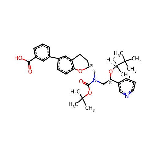 CC(C)(C)OC(=O)N(C[C@H]1CCc2cc(-c3cccc(C(=O)O)c3)ccc2O1)C[C@@H](O[Si](C)(C)C(C)(C)C)c1cccnc1